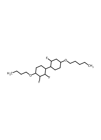 CCCCCOC1CCC(C2CCC(OCCCC)C(F)C2F)C(F)C1